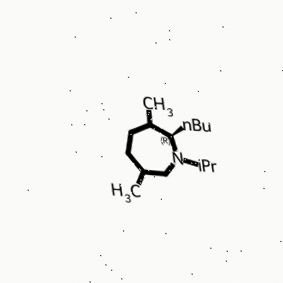 CCCC[C@@H]1C(C)CCC(C)CN1C(C)C